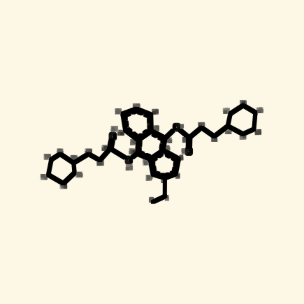 CCc1ccc2c(OC(=O)CCC3CCCCC3)c3ccccc3c(OC(=O)CCC3CCCCC3)c2c1